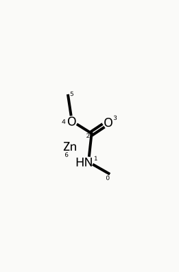 CNC(=O)OC.[Zn]